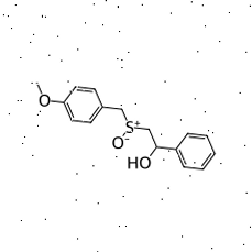 COc1ccc(C[S+]([O-])CC(O)c2ccccc2)cc1